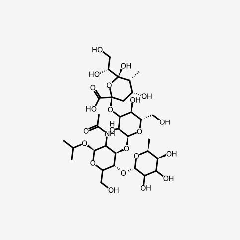 CC(=O)NC1[C@H](OC(C)C)OC(CO)[C@@H](O[C@@H]2O[C@@H](C)[C@@H](O)C(O)C2O)[C@@H]1O[C@@H]1O[C@@H](CO)[C@H](O)C(O[C@]2(C(=O)O)C[C@@H](O)[C@@H](C)[C@@](O)([C@H](O)CO)O2)C1O